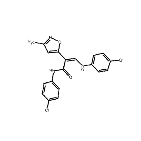 Cc1cc(/C(=C/Nc2ccc(Cl)cc2)C(=O)Nc2ccc(Cl)cc2)on1